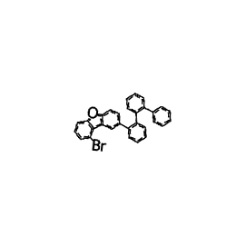 Brc1cccc2oc3ccc(-c4ccccc4-c4ccccc4-c4ccccc4)cc3c12